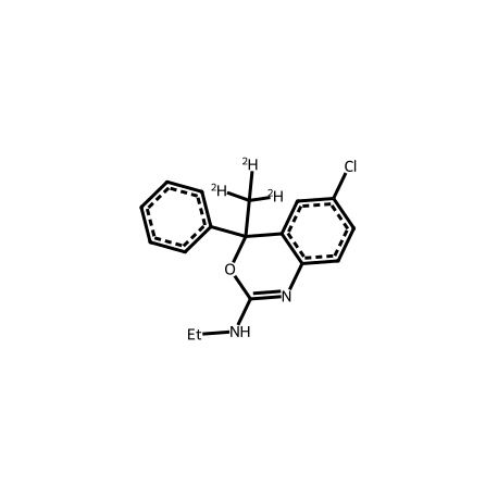 [2H]C([2H])([2H])C1(c2ccccc2)OC(NCC)=Nc2ccc(Cl)cc21